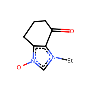 CCn1c[n+]([O-])c2c1C(=O)CCC2